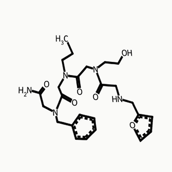 CCCN(CC(=O)N(CC(N)=O)Cc1ccccc1)C(=O)CN(CCO)C(=O)CNCc1ccco1